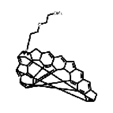 COCCOCCN1CC2C3=c4c5c6c7c8c9c%10c7c7c%11c%12c(cc%13c%14c(c4c6c7c%12%14)=C(C3)C%13)=CC3=CC(=CC9=CC4CC2(C1)C=5C84)C%10C3%11